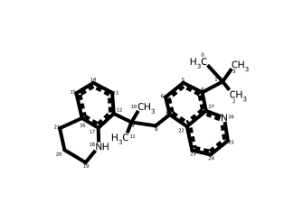 CC(C)(C)c1ccc(CC(C)(C)c2cccc3c2NCCC3)c2cccnc12